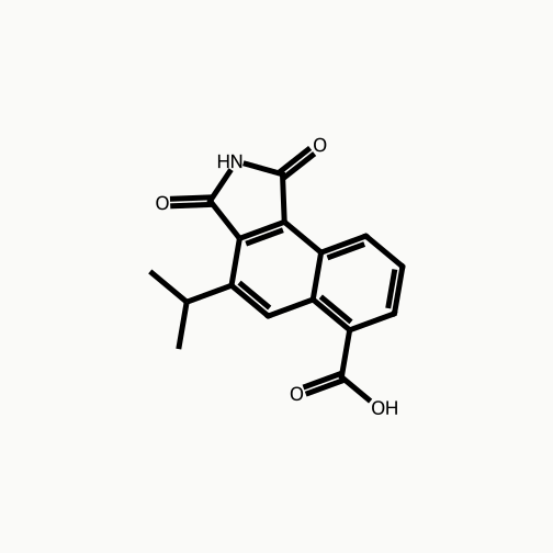 CC(C)c1cc2c(C(=O)O)cccc2c2c1C(=O)NC2=O